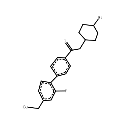 CCC(C)Cc1ccc(-c2ccc(C(=O)CC3CCC(CC)CC3)cc2)c(F)c1